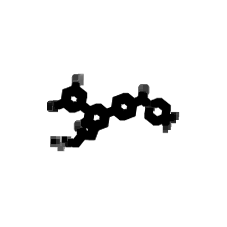 NCc1cc2cc(-c3ccc(C(=O)N4CCC(F)(F)CC4)cc3)cc(-c3cc(Cl)cc(Cl)c3)c2o1